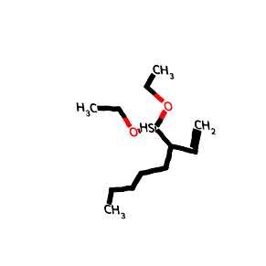 C=CC(CCCCC)[SiH](OCC)OCC